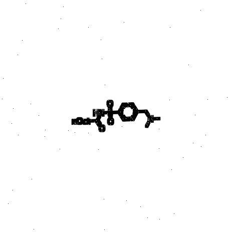 CCCCCCCCC(=O)NS(=O)(=O)c1ccc(CN(C)C)cc1